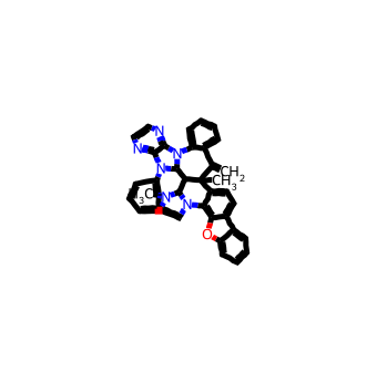 C=C1c2ccccc2N2c3nccnc3N(c3ccccc3)C2C2C3N(C)C=CN3c3c(ccc4c3oc3ccccc34)C12C